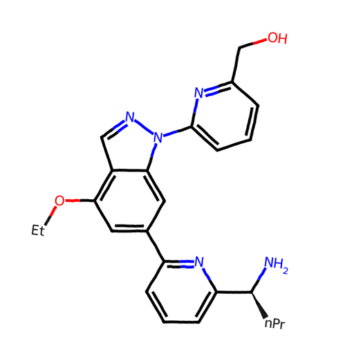 CCC[C@H](N)c1cccc(-c2cc(OCC)c3cnn(-c4cccc(CO)n4)c3c2)n1